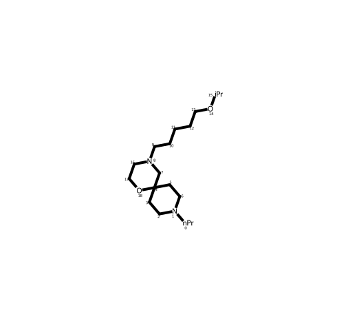 CCCN1CCC2(CC1)CN(CCCCCOC(C)C)CCO2